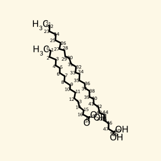 CCCCCCCCCCCCCCCCCC(=O)OO.CCCCCCCCCCCCCCCCCCCCCCCCCCCC(O)O